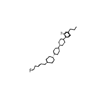 CCCc1ccc(C2CCC(C3CCC([C@H]4CC[C@H](CCCCCF)CC4)CC3)CC2)c(F)c1